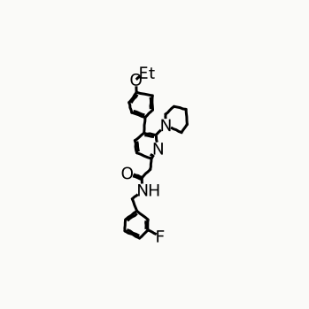 CCOc1ccc(-c2ccc(CC(=O)NCc3cccc(F)c3)nc2N2CCCCC2)cc1